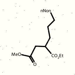 CCCCCCCCCCCCC(CC(=O)OC)C(=O)OCC